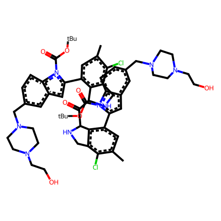 Cc1cc(-c2cc3cc(CN4CCN(CCO)CC4)ccc3n2C(=O)OC(C)(C)C)c2c(c1Cl)CNC2C(=O)C1NCc2c(Cl)c(C)cc(-c3cc4cc(CN5CCN(CCO)CC5)ccc4n3C(=O)OC(C)(C)C)c21